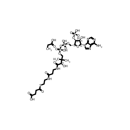 CC(C)(COP(=O)(O)OP(=O)(O)OC[C@H]1O[C@@H](n2cnc3c(N)ncnc32)[C@H](O)[C@@H]1OP(=O)(O)O)[C@@H](O)C(=O)NCCC(=O)NCCSC(=O)CCC(=O)O.CCC(=O)O